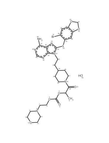 CC(OC(=O)OCCN1CCOCC1)C(=O)N1CCC(CCn2c(Sc3cc4c(cc3Br)OCO4)nc3c(N)ncnc32)CC1.Cl